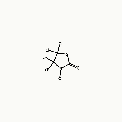 O=C1SC(Cl)(Cl)C(Cl)(Cl)N1Cl